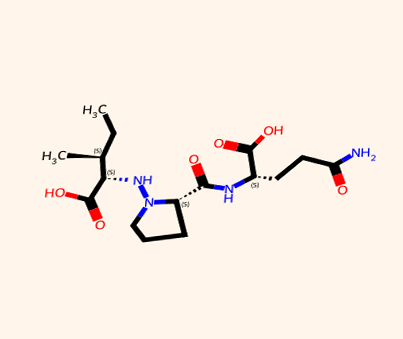 CC[C@H](C)[C@H](NN1CCC[C@H]1C(=O)N[C@@H](CCC(N)=O)C(=O)O)C(=O)O